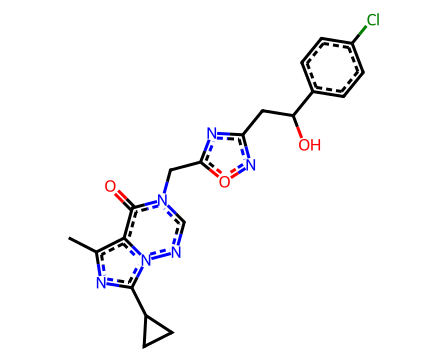 Cc1nc(C2CC2)n2ncn(Cc3nc(CC(O)c4ccc(Cl)cc4)no3)c(=O)c12